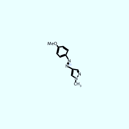 COc1ccc(/N=N/c2cnn(C)c2)cc1